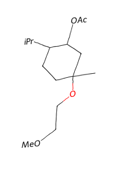 COCCOC1(C)CCC(C(C)C)C(OC(C)=O)C1